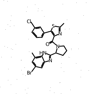 Cc1nc(C(=O)N2CCCC2c2nc3cc(Br)cc(C)c3[nH]2)c(-c2cccc(Cl)c2)s1